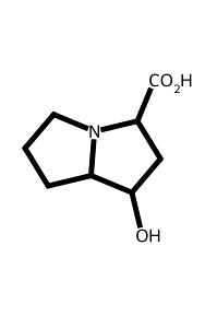 O=C(O)C1CC(O)C2CCCN12